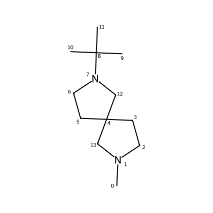 CN1CCC2(CCN(C(C)(C)C)C2)C1